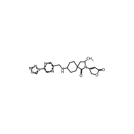 C[C@@H]1CC2(CCC(NCc3cnc(-n4cnnn4)cn3)CC2)C(=O)N1C1=CC(=O)OC1